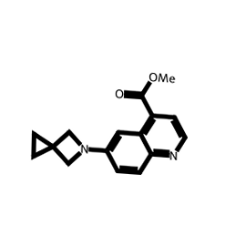 COC(=O)c1ccnc2ccc(N3CC4(CC4)C3)cc12